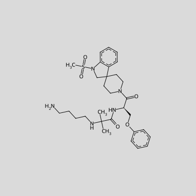 CC(C)(NCCCCN)C(=O)N[C@H](COc1ccccc1)C(=O)N1CCC2(CC1)CN(S(C)(=O)=O)c1ccccc12